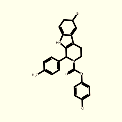 Cc1ccc(C2c3[nH]c4c(c3CCN2C(=O)Oc2ccc(Cl)cc2)=CC(Br)CC=4)cc1